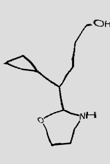 OCCC(C1CC1)C1NCCO1